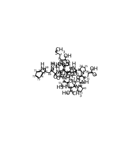 CSCC[C@H](NC(=O)[C@@H]1CCCN1C(=O)[C@H](CCSC)NC(=O)[C@@H]1CCCN1C(=O)[C@H](CCC(=O)O)NC(=O)[C@@H]1CCCN1C(=O)[C@@H](NC(=O)[C@H](CS)NC(=O)[C@H](CC(C)C)NC(=O)[C@@H](N)Cc1c[nH]c2ccccc12)[C@@H](C)O)C(=O)O